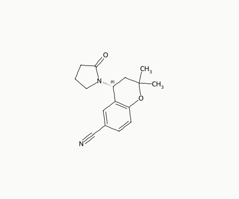 CC1(C)C[C@@H](N2CCCC2=O)c2cc(C#N)ccc2O1